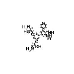 CC(C)Nc1nc(-c2cc(OC[C@H](O)CN)cc(OC[C@H](O)CN)c2)cc(N2CCOCC2)c1C=N